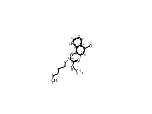 CCCCCC[C@H](Oc1ccc(Cl)c2cccnc12)C(=O)OC